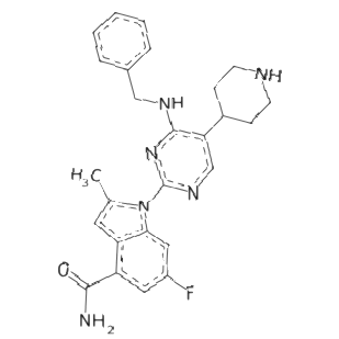 Cc1cc2c(C(N)=O)cc(F)cc2n1-c1ncc(C2CCNCC2)c(NCc2ccccc2)n1